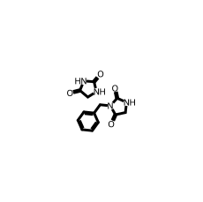 O=C1CNC(=O)N1.O=C1CNC(=O)N1Cc1ccccc1